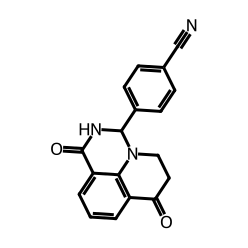 N#Cc1ccc(C2NC(=O)c3cccc4c3N2CCC4=O)cc1